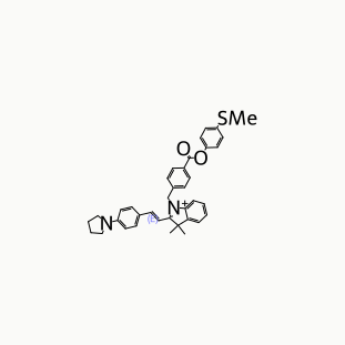 CSc1ccc(OC(=O)c2ccc(C[N+]3=C(/C=C/c4ccc(N5CCCC5)cc4)C(C)(C)c4ccccc43)cc2)cc1